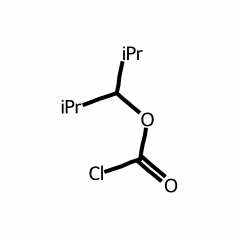 CC(C)C(OC(=O)Cl)C(C)C